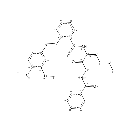 CCCC[C@H](NC(=O)c1ccccc1C=Cc1ccc(OC)c(OC)c1)C(=O)CNC(=O)c1ccccc1